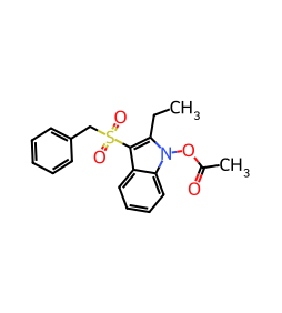 CCc1c(S(=O)(=O)Cc2ccccc2)c2ccccc2n1OC(C)=O